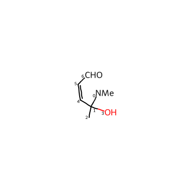 CNC(C)(O)/C=C\C=O